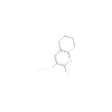 CCOC(=O)c1cc2c(nc1Cl)CCCC2